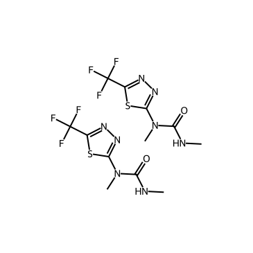 CNC(=O)N(C)c1nnc(C(F)(F)F)s1.CNC(=O)N(C)c1nnc(C(F)(F)F)s1